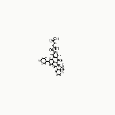 O=C(O)CCNC(=O)c1ccc(C(=O)C(=CC(=O)c2ccccc2C(F)(F)F)c2ccc(C3CCCCC3)cc2)cc1